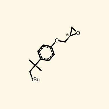 CC(C)(C)CC(C)(C)c1ccc(OC[C@H]2CO2)cc1